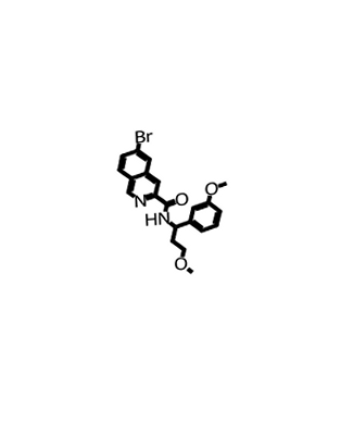 COCCC(NC(=O)c1cc2cc(Br)ccc2cn1)c1cccc(OC)c1